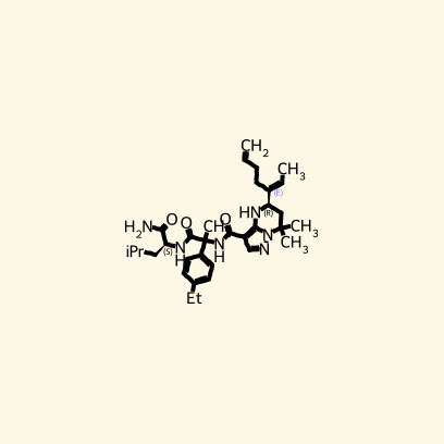 C=CCC/C(=C\C)[C@H]1CC(C)(C)n2ncc(C(=O)NC(C)(C(=O)N[C@@H](CC(C)C)C(N)=O)c3ccc(CC)cc3)c2N1